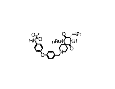 CCCCN1C(=O)[C@H](CC(C)C)NC(=O)C12CCN(Cc1ccc(Oc3ccc(NS(C)(=O)=O)cc3)cc1)CC2